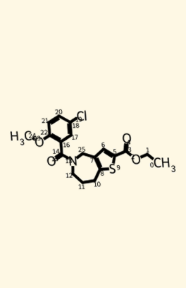 CCOC(=O)c1cc2c(s1)CCCN(C(=O)c1cc(Cl)ccc1OC)C2